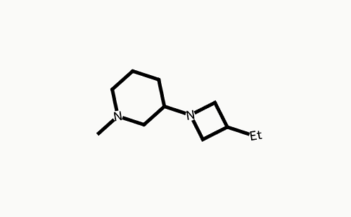 CCC1CN(C2CCCN(C)C2)C1